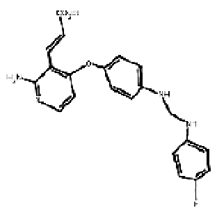 CCOC(=O)/C=C/c1c(Oc2ccc(NCNc3ccc(F)cc3)cc2)ccnc1N